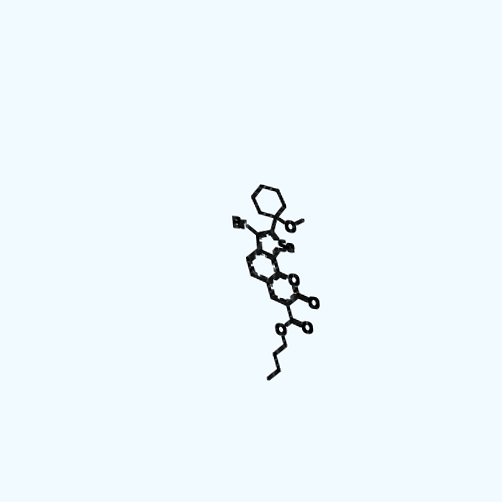 CCCCOC(=O)c1cc2ccc3c(Br)c(C4(OC)CCCCC4)[se]c3c2oc1=O